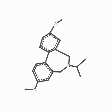 COc1ccc2c(c1)CN(C(C)C)Cc1cc(OC)ccc1-2